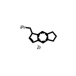 CC(C)C[C]1C=Cc2cc3c(cc21)CCC3.[Zr]